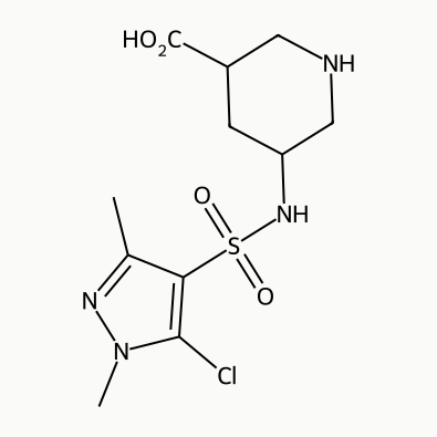 Cc1nn(C)c(Cl)c1S(=O)(=O)NC1CNCC(C(=O)O)C1